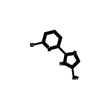 CCCc1cnc(-c2cccc(Cl)n2)[nH]1